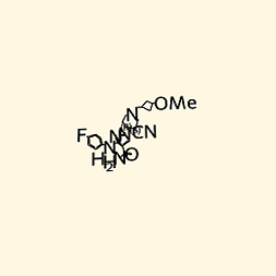 COC1CC(CN2CC[C@@H](n3cc(C(N)=O)c(Nc4ccc(F)cc4)n3)[C@@H](C#N)C2)C1